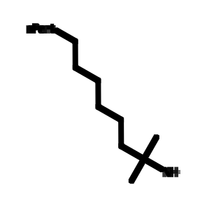 CCCCCCCCCCCC(C)(C)[NH]